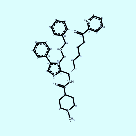 CN1CCC(C(=O)N[C@@H](CCCCCC(=O)c2ccccn2)c2ncc(-c3ccccc3)n2COCc2ccccc2)CC1